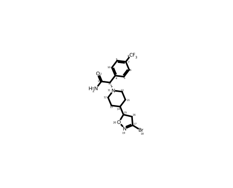 NC(=O)[C@H](c1ccc(C(F)(F)F)cc1)N1CCC(C2CC(Br)=NO2)CC1